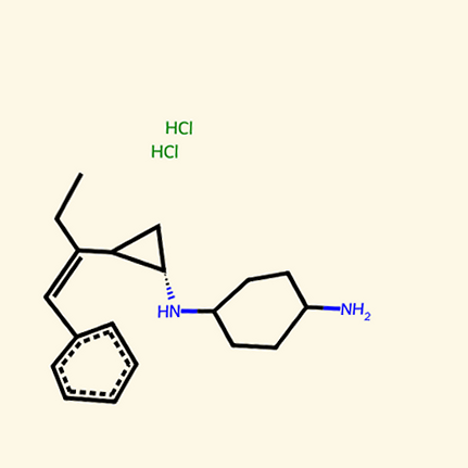 CCC(=Cc1ccccc1)C1C[C@@H]1NC1CCC(N)CC1.Cl.Cl